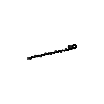 OCCOCCOCCOCCOCCOCCOCCOCC(O)Cc1ccccc1